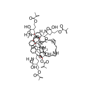 C=C(C)C(=O)OCCC(C[C@H](N)C(=O)c1ccccc1-c1c(-c2ccccc2C(=O)[C@@H](N)CC(CCOC(=O)C(=C)C)C(=O)O)c2c(-c3ccccc3C(=O)[C@@H](N)CC(CCOC(=O)C(=C)C)C(=O)O)c3nc(cc4ccc(cc5nc(cc1n2-c1ccccc1C(=O)[C@@H](N)CC(CCOC(=O)C(=C)C)C(=O)O)C=C5)[nH]4)C=C3)C(=O)O